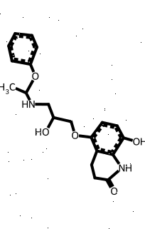 CC(NCC(O)COc1ccc(O)c2c1CCC(=O)N2)Oc1ccccc1